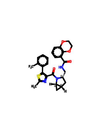 Cc1nc(C(=O)N2[C@H](CNC(=O)c3cccc4c3OCCO4)C[C@@H]3C[C@@H]32)c(-c2ccccc2C(F)(F)F)s1